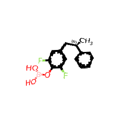 C[C@H](Cc1cc(F)c(OB(O)O)c(F)c1)c1ccccc1